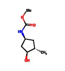 C[C@H]1C[C@H](NC(=O)OC(C)(C)C)C[C@@H]1O